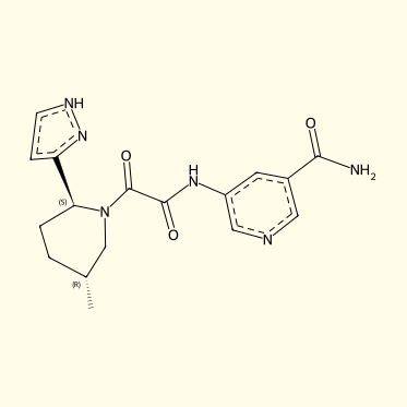 C[C@@H]1CC[C@@H](c2cc[nH]n2)N(C(=O)C(=O)Nc2cncc(C(N)=O)c2)C1